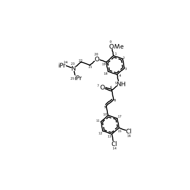 COc1ccc(NC(=O)C=Cc2ccc(Cl)c(Cl)c2)cc1OCCN(C(C)C)C(C)C